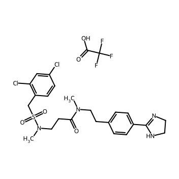 CN(CCc1ccc(C2=NCCN2)cc1)C(=O)CCN(C)S(=O)(=O)Cc1ccc(Cl)cc1Cl.O=C(O)C(F)(F)F